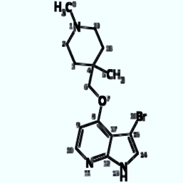 CN1CCC(C)(COc2ccnc3[nH]cc(Br)c23)CC1